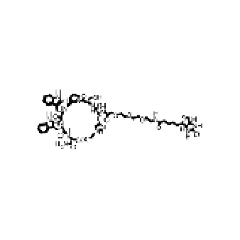 NC(=O)[C@@H]1CCCCn2cc(nn2)C[C@H](NC(=O)COCCOCCOCCNC(=O)CCCCC2SC[C@@H]3NC(=O)N[C@H]23)C(=O)N[C@H](CO)C(=O)N2CCC[C@@H]2C(=O)N[C@H](Cc2c[nH]c3ccccc23)C(=O)N[C@H](Cc2c[nH]c3ccccc23)C(=O)N1